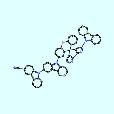 N#Cc1ccc2c(c1)c1ccccc1n2-c1ccc2c(c1)c1ccccc1n2-c1ccc2c(c1)C1(c3ccccc3S2)c2cccnc2-c2ncc(-n3c4ccccc4c4ccccc43)cc21